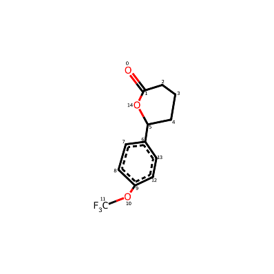 O=C1CCCC(c2ccc(OC(F)(F)F)cc2)O1